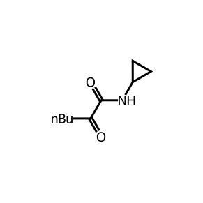 CCCCC(=O)C(=O)NC1CC1